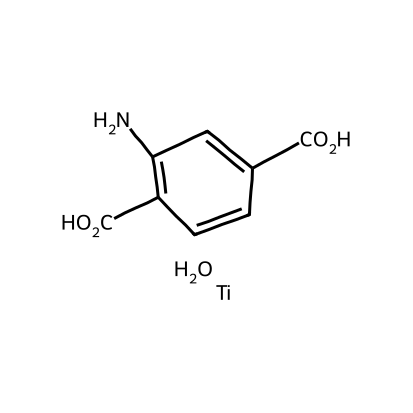 Nc1cc(C(=O)O)ccc1C(=O)O.O.[Ti]